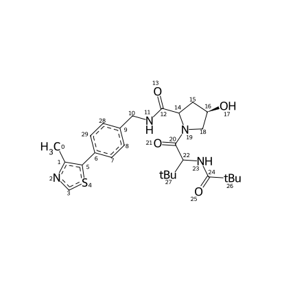 Cc1ncsc1-c1ccc(CNC(=O)C2C[C@@H](O)CN2C(=O)C(NC(=O)C(C)(C)C)C(C)(C)C)cc1